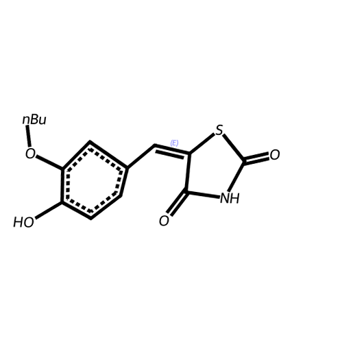 CCCCOc1cc(/C=C2/SC(=O)NC2=O)ccc1O